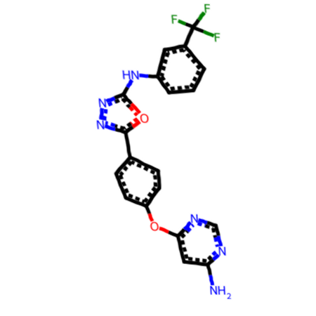 Nc1cc(Oc2ccc(-c3nnc(Nc4cccc(C(F)(F)F)c4)o3)cc2)ncn1